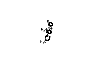 CN1CCCN(c2ccc(S(=O)(=O)c3cccc(F)c3)c(N)c2)CC1